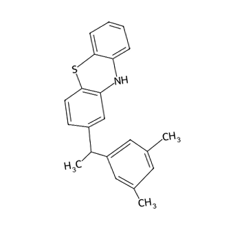 Cc1cc(C)cc(C(C)c2ccc3c(c2)Nc2ccccc2S3)c1